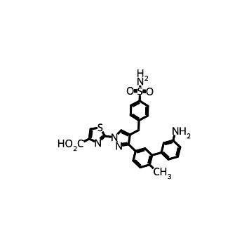 Cc1ccc(-c2nn(-c3nc(C(=O)O)cs3)cc2Cc2ccc(S(N)(=O)=O)cc2)cc1-c1cccc(N)c1